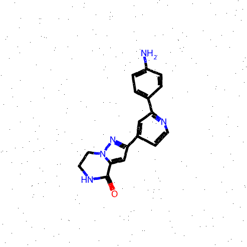 Nc1ccc(-c2cc(-c3cc4n(n3)CCNC4=O)ccn2)cc1